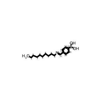 CCCCCCCCCC/N=C/c1ccc(B(O)O)cc1